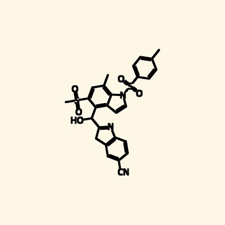 Cc1ccc(S(=O)(=O)n2ccc3c(C(O)C4=Nc5ccc(C#N)cc5C4)c(S(C)(=O)=O)cc(C)c32)cc1